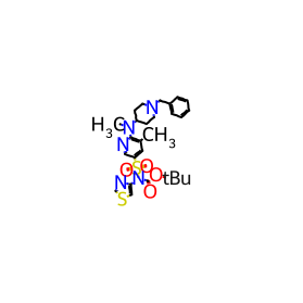 Cc1cc(S(=O)(=O)N(C(=O)OC(C)(C)C)c2cscn2)cnc1N(C)C1CCN(Cc2ccccc2)CC1